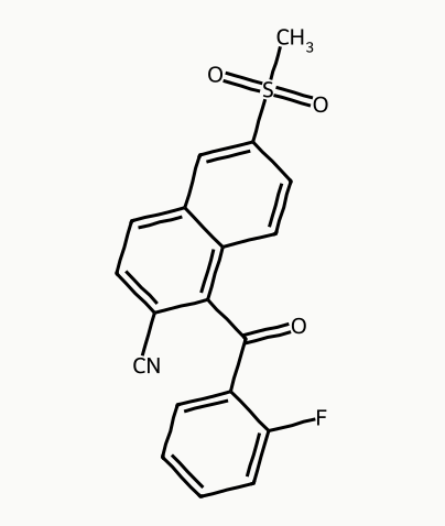 CS(=O)(=O)c1ccc2c(C(=O)c3ccccc3F)c(C#N)ccc2c1